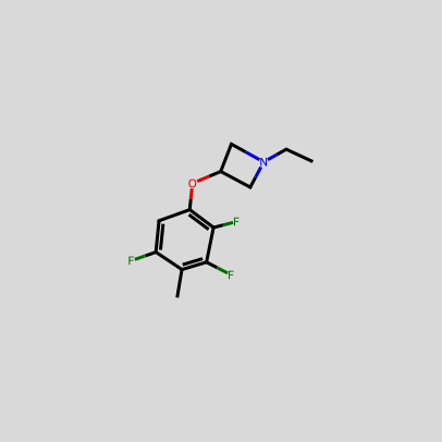 CCN1CC(Oc2cc(F)c(C)c(F)c2F)C1